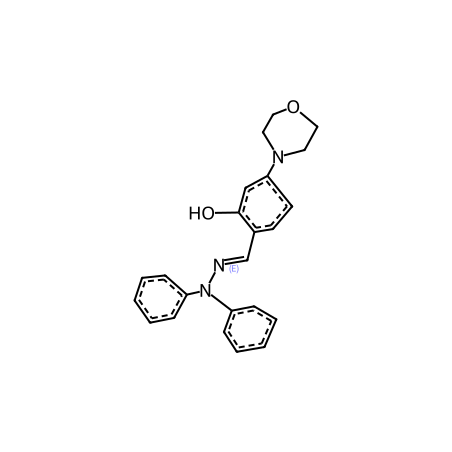 Oc1cc(N2CCOCC2)ccc1/C=N/N(c1ccccc1)c1ccccc1